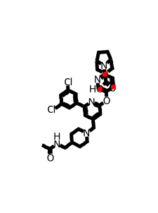 CC(=O)NCC1CCN(Cc2cc(Oc3ccc(N4C5CCC4CN(C(=O)O)C5)nc3)nc(-c3cc(Cl)cc(Cl)c3)c2)CC1